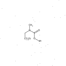 CCOC(=O)CN(C)C(=O)OC(C)C